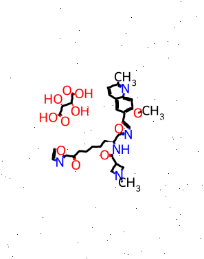 COc1cc2nc(C)ccc2cc1-c1cnc([C@H](CCCCCC(=O)c2ncco2)NC(=O)C2CN(C)C2)o1.O=C(O)[C@H](O)[C@@H](O)C(=O)O